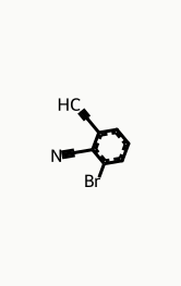 C#Cc1cccc(Br)c1C#N